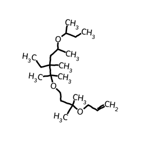 C=CCOC(C)(C)CCOC(C)(C)C(C)(CC)CC(C)OC(C)CC